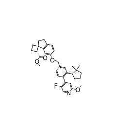 COC(=O)[C@@H]1CC[C@]12CCc1ccc(OCc3ccc(-c4cc(OC)ncc4F)c([C@@H]4CCCC4(C)C)c3)cc12